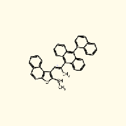 CBc1oc2ccc3ccccc3c2c1/C=C(\C)c1c2ccccc2c(-c2cccc3ccccc23)c2ccccc12